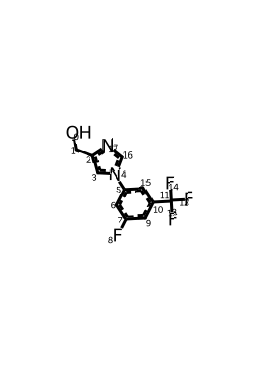 OCc1cn(-c2cc(F)cc(C(F)(F)F)c2)cn1